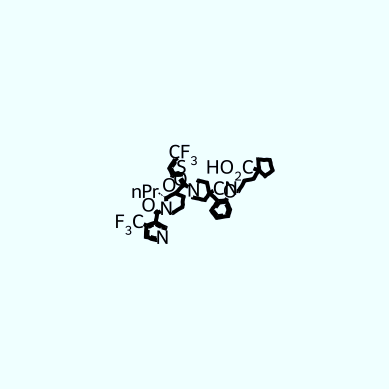 CCC[C@H]1N(C(=O)c2cnccc2C(F)(F)F)CCC[C@@]1(Oc1csc(C(F)(F)F)c1)C(=O)N1CCC(C#N)(c2ccccc2OCCCC2(C(=O)O)CCCC2)CC1